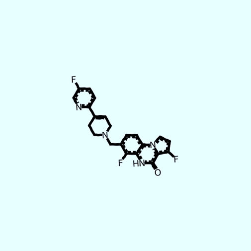 O=c1[nH]c2c(F)c(CN3CC=C(c4ccc(F)cn4)CC3)ccc2n2ccc(F)c12